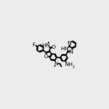 CCN(C)c1cc2oc(-c3ccc(F)cc3)c(C(=O)NC)c2cc1-c1cc(N)cc(-c2nc3cccnc3[nH]2)c1